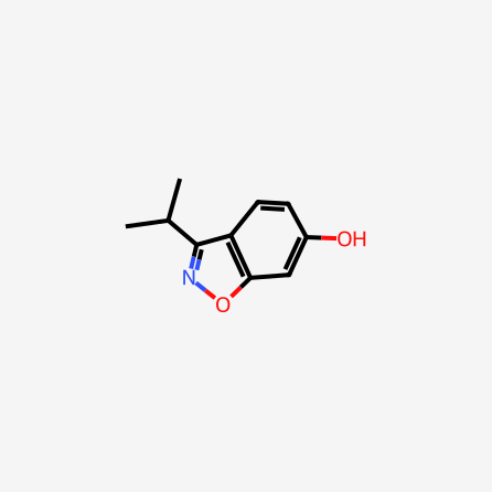 CC(C)c1noc2cc(O)ccc12